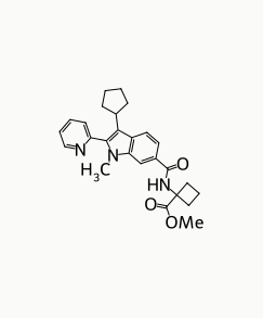 COC(=O)C1(NC(=O)c2ccc3c(C4CCCC4)c(-c4ccccn4)n(C)c3c2)CCC1